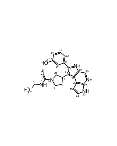 O=C(NCC(F)(F)F)N1CCC(n2c(-c3cccc(O)c3)nc3cnc4[nH]ccc4c32)C1